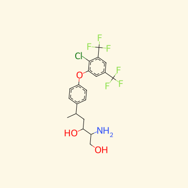 CC(CC(O)C(N)CO)c1ccc(Oc2cc(C(F)(F)F)cc(C(F)(F)F)c2Cl)cc1